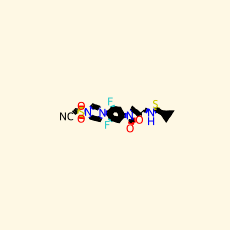 N#CCS(=O)(=O)N1CCN(c2c(F)cc(N3C[C@H](CNC(=S)C4CC4)OC3=O)cc2F)CC1